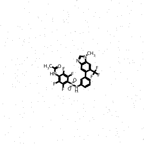 CC(=O)Nc1c(F)c(F)c(S(=O)(=O)Nc2cccc(-c3cc4ncn(C)c4cc3C(F)(F)F)c2)c(F)c1F